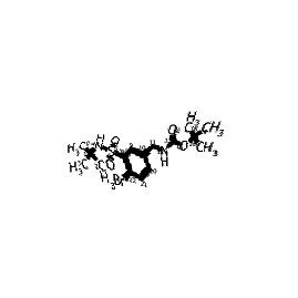 CC(C)(C)NS(=O)(=O)c1cc(CNC(=O)OC(C)(C)C)ccc1Br